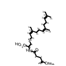 COC(=O)CCC(=O)NC(CSCC=C(C)CCC=C(C)CCC=C(C)C)C(=O)O